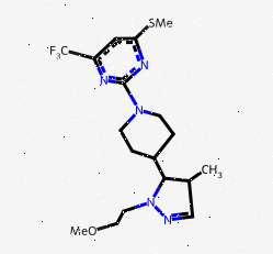 COCCN1N=CC(C)C1C1CCN(c2nc(SC)cc(C(F)(F)F)n2)CC1